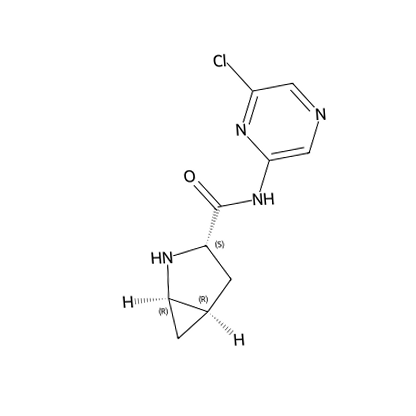 O=C(Nc1cncc(Cl)n1)[C@@H]1C[C@H]2C[C@H]2N1